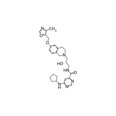 Cc1ncoc1COc1ccc2c(c1)CCN(C[C@@H](O)CNC(=O)c1cc(NC3CCCC3)ncn1)C2